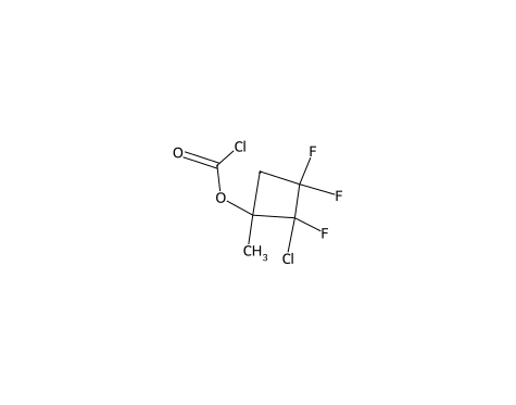 CC1(OC(=O)Cl)CC(F)(F)C1(F)Cl